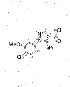 COc1cc(-n2ncc(C(=O)Cl)c2C(C)C)ccc1Cl